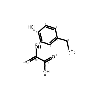 Cl.NCc1ccccc1.O=C(O)C(=O)O